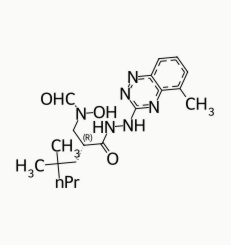 CCCC(C)(C)C[C@H](CN(O)C=O)C(=O)NNc1nnc2cccc(C)c2n1